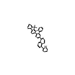 CC1(C)c2ccccc2-c2ccc3c4ccc(-c5cccc6c(-c7ccccn7)cccc56)cc4c4ccccc4c3c21